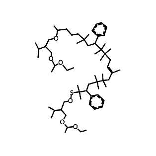 CCOC(C)OCC(COSC(C)(C)C(CC(C)(C)C(C)(C)C/C(C)=C/CC(C)(C)C(C)(C)C(CC(C)(C)CCCC(C)OCC(COC(C)OCC)C(C)C)c1ccccc1)c1ccccc1)C(C)C